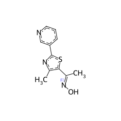 C/C(=N\O)c1sc(-c2cccnc2)nc1C